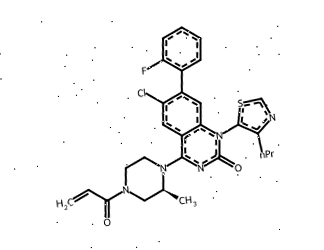 C=CC(=O)N1CCN(c2nc(=O)n(-c3scnc3CCC)c3cc(-c4ccccc4F)c(Cl)cc23)[C@@H](C)C1